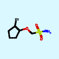 CCC1CCCC1OCS(N)(=O)=O